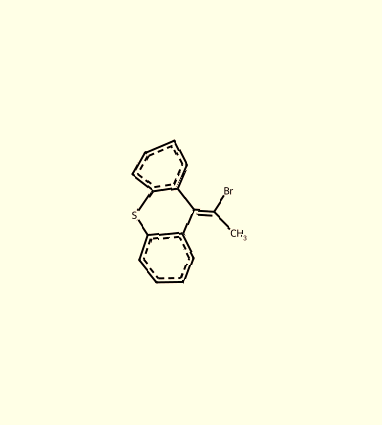 CC(Br)=C1c2ccccc2Sc2ccccc21